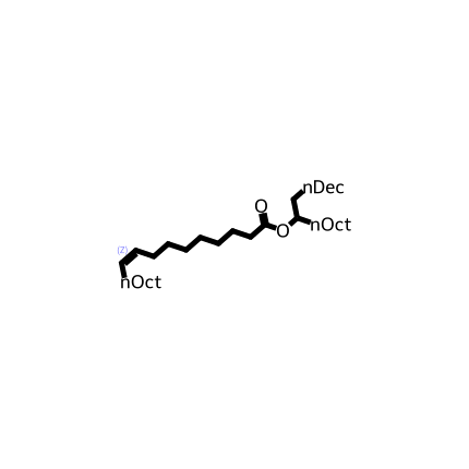 CCCCCCCC/C=C\CCCCCCCC(=O)OC(CCCCCCCC)CCCCCCCCCCC